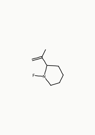 C=C(C)C1CCCCN1F